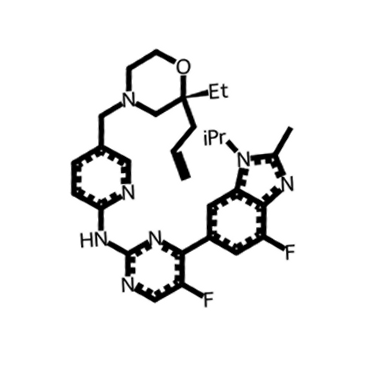 C=CC[C@]1(CC)CN(Cc2ccc(Nc3ncc(F)c(-c4cc(F)c5nc(C)n(C(C)C)c5c4)n3)nc2)CCO1